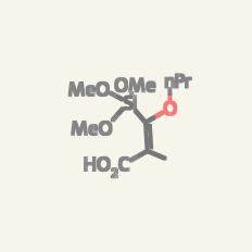 CCCOC(=C(C)C(=O)O)[Si](OC)(OC)OC